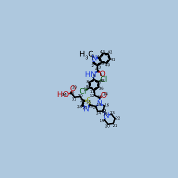 Cn1cc(C(=O)Nc2cc(Cl)c(CC(=O)N3C[C@@H](N4CCCCC4)CC3c3ncc(CCC(=O)O)s3)cc2Cl)c2ccccc21